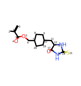 C=C(C)C(=O)OCC1CCC(CC2NC(=S)NC2=O)CC1